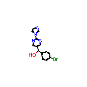 OC(c1ccc(Br)cc1)c1cnc(-n2ccnc2)nc1